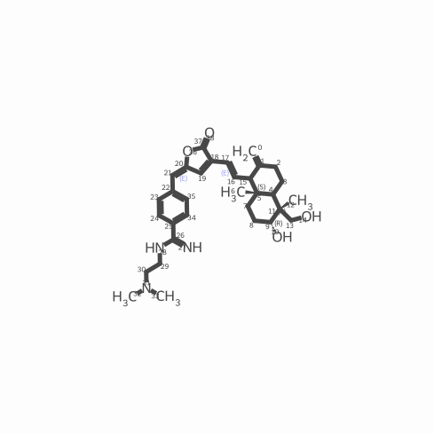 C=C1CCC2[C@](C)(CC[C@@H](O)[C@@]2(C)CO)C1/C=C/C1=CC(=C\c2ccc(C(=N)NCCN(C)C)cc2)/OC1=O